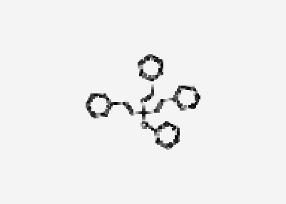 C(=CC(C=Cc1ccccc1)(C=Cc1ccccc1)Oc1ccccc1)c1ccccc1